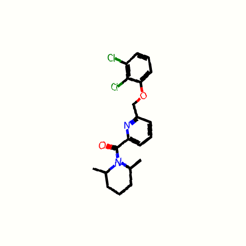 CC1CCCC(C)N1C(=O)c1cccc(COc2cccc(Cl)c2Cl)n1